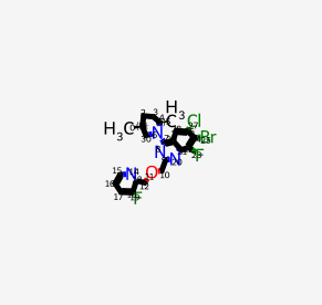 C[C@H]1CC[C@H](C)N(c2nc(COCc3ncccc3F)nc3c(F)c(Br)c(Cl)cc23)C1